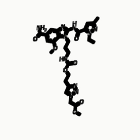 CCn1nc(C)cc1C(=O)Nc1nc2cc(C(N)=O)cc(OC)c2n1CCCNC(=O)OCCc1cn(CC(=O)OC)nn1